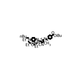 CCCCC(CC)CN(CC(CC)CCCC)c1ccc(N=Nc2sc(N=Nc3ccc(C(=O)OCC(C)C)cc3)c(C)c2C#N)c(NC(=O)CC)c1